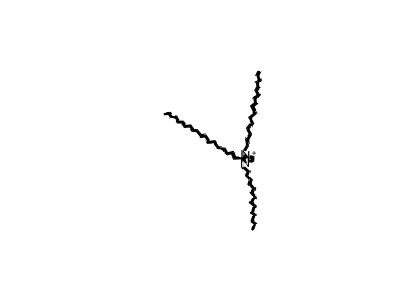 CCCCCCCCCCCCCCCCCCCc1n(CCCCCCCCCCCCCCC)cc[n+]1CCCCCCCCCCCCCCCCCC